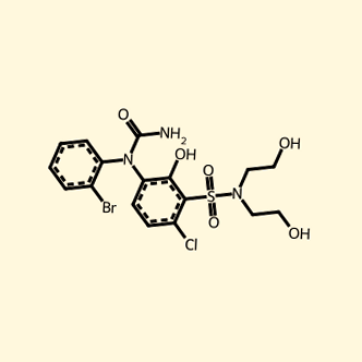 NC(=O)N(c1ccccc1Br)c1ccc(Cl)c(S(=O)(=O)N(CCO)CCO)c1O